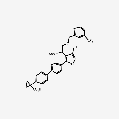 COC(COCc1cccc(C(F)(F)F)c1)c1c(C)noc1-c1ccc(-c2ccc(C3(C(=O)O)CC3)cc2)cc1